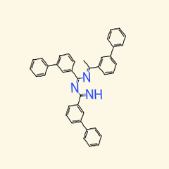 C/C(=N\C(=N/C(=N)c1cccc(-c2ccccc2)c1)c1cccc(-c2ccccc2)c1)c1cccc(-c2ccccc2)c1